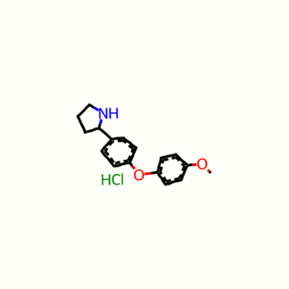 COc1ccc(Oc2ccc(C3CCCN3)cc2)cc1.Cl